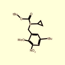 COc1c(CN(C(=O)OC(C)(C)C)C2CC2)cc(C(C)(C)C)cc1[N+](=O)[O-]